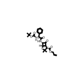 C=CCOC(=O)[C@@H]1C2C(=O)[C@@H](NC(=O)[C@H](NC(=O)OC(C)(C)C)c3ccccc3)[C@H]2SC1(C)C